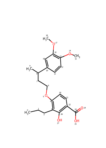 CCCc1c(OCCC(C)c2ccc(OC)c(OC)c2)ccc(C(=O)O)c1O